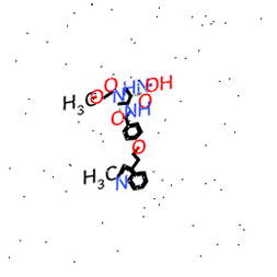 COCC(=O)N1C[C@H](C(=O)NO)[C@H](NC(=O)c2ccc(OCCc3cc(C)nc4ccccc34)cc2)C1